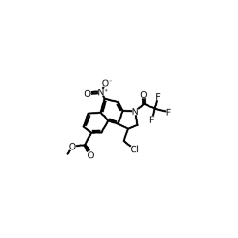 COC(=O)c1ccc2c([N+](=O)[O-])cc3c(c2c1)C(CCl)CN3C(=O)C(F)(F)F